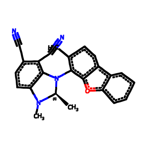 Cc1ccc2c(oc3ccccc32)c1N1c2c(ccc(C#N)c2C#N)N(C)[C@@H]1C